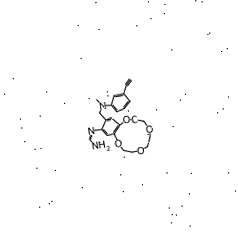 C#Cc1cccc(N(C)Cc2cc3c(cc2/N=C\N)OCCOCCOCCO3)c1